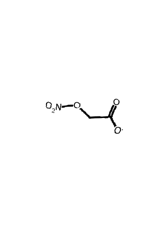 [O]C(=O)CO[N+](=O)[O-]